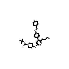 CCCCc1nnc(OC2CCN(C(=O)OC(C)(C)C)CC2)cc1-c1ccc(OCc2ccccc2)cc1